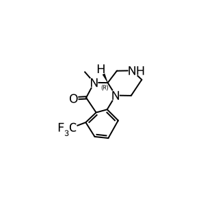 CN1C(=O)c2c(cccc2C(F)(F)F)N2CCNC[C@@H]12